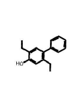 CCc1cc(-c2ccccc2)c(CC)cc1O